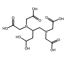 O=C(O)CN(CC(=O)O)CC(CC(O)O)N(CC(=O)O)CC(=O)O